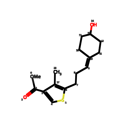 COC(=O)c1csc(CCC=C2CCC(O)CC2)c1C